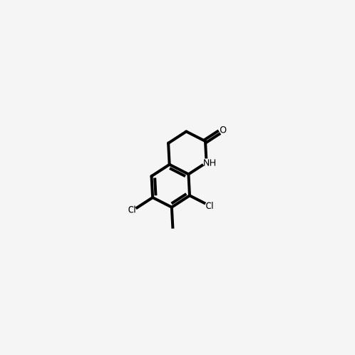 Cc1c(Cl)cc2c(c1Cl)NC(=O)CC2